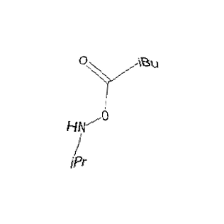 CCC(C)C(=O)ONC(C)C